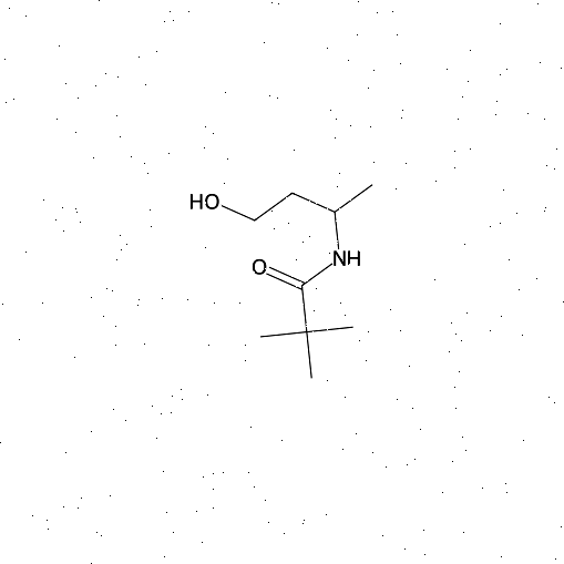 CC(CCO)NC(=O)C(C)(C)C